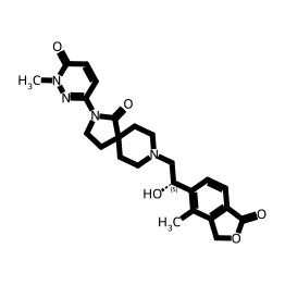 Cc1c([C@H](O)CN2CCC3(CC2)CCN(c2ccc(=O)n(C)n2)C3=O)ccc2c1COC2=O